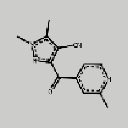 Cc1cc(C(=O)c2nn(C)c(C)c2C#N)ccn1